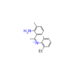 CCc1cccc(C)c1/N=C(/C)c1cccc(C)c1N